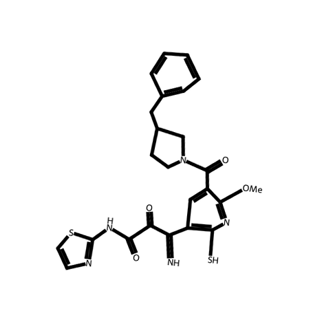 COc1nc(S)c(C(=N)C(=O)C(=O)Nc2nccs2)cc1C(=O)N1CCC(Cc2ccccc2)C1